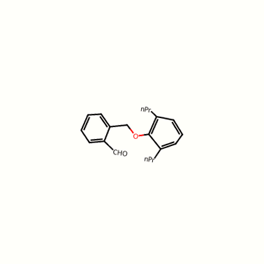 CCCc1cccc(CCC)c1OCc1ccccc1C=O